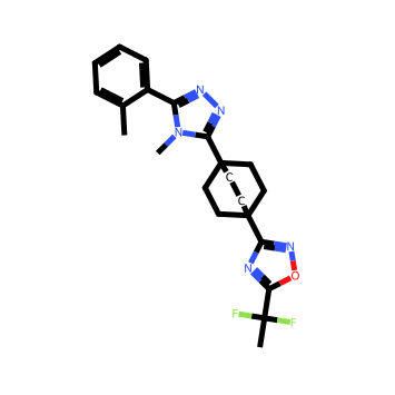 Cc1ccccc1-c1nnc(C23CCC(c4noc(C(C)(F)F)n4)(CC2)CC3)n1C